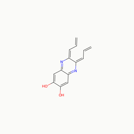 C=C/C=c1/nc2cc(O)c(O)cc2n/c1=C/C=C